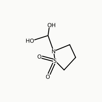 O=S1(=O)CCCN1C(O)O